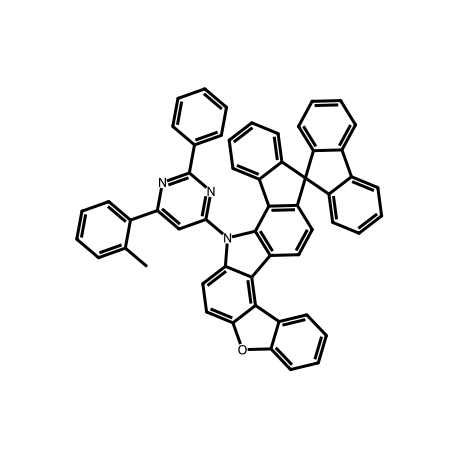 Cc1ccccc1-c1cc(-n2c3ccc4oc5ccccc5c4c3c3ccc4c(c32)-c2ccccc2C42c3ccccc3-c3ccccc32)nc(-c2ccccc2)n1